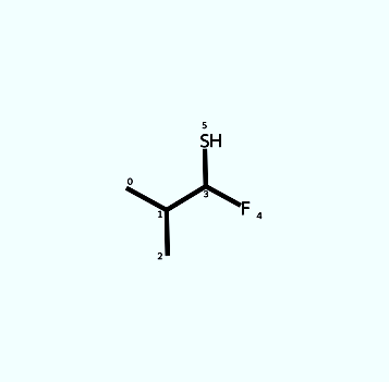 CC(C)C(F)S